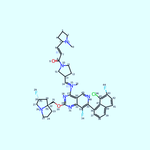 CN1CCCC1/C=C/C(=O)N1CCC(/C=[N+](\C)c2nc(OC[C@@]34CCCN3C[C@H](F)C4)nc3c(F)c(-c4cccc5ccc(F)c(Cl)c45)ncc23)C1